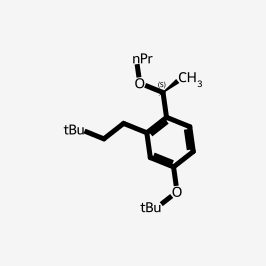 CCCO[C@@H](C)c1ccc(OC(C)(C)C)cc1CCC(C)(C)C